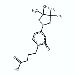 CC1(C)OB(c2ccn(CCCC(=O)O)c(=O)c2)OC1(C)C